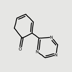 O=C1CC=CC=C1c1ncncn1